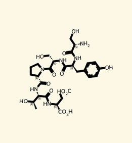 C[C@@H](O)[C@H](NC(=O)[C@@H]1CCCN1C(=O)[C@H](CO)NC(=O)[C@H](Cc1ccc(O)cc1)NC(=O)[C@@H](N)CO)C(=O)N[C@@H](CC(=O)O)C(=O)O